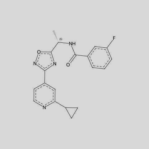 C[C@H](NC(=O)c1cccc(F)c1)c1nc(-c2ccnc(C3CC3)c2)no1